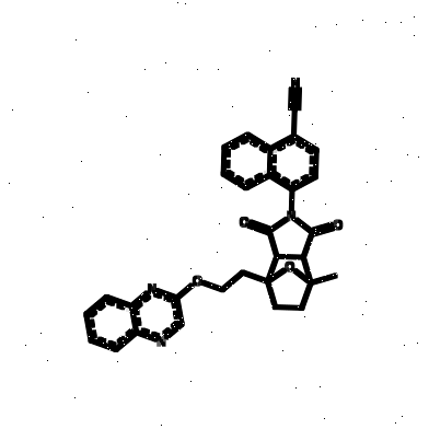 CC12CCC(CCOc3cnc4ccccc4n3)(O1)C1C(=O)N(c3ccc(C#N)c4ccccc34)C(=O)C12